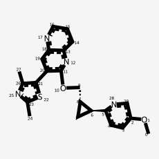 COc1ccc([C@H]2C[C@@H]2COc2nc3cccnc3cc2-c2sc(C)nc2C)nc1